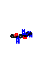 O=C(CC1CCCC1)Nc1ccc(NC(=O)N2CCn3ccnc3C2)cc1